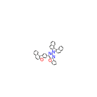 c1ccc2c(c1)ccc1oc3cc(-c4nc(-n5c6ccc7ccccc7c6c6c7ccccc7ccc65)nc5c4oc4ccccc45)ccc3c12